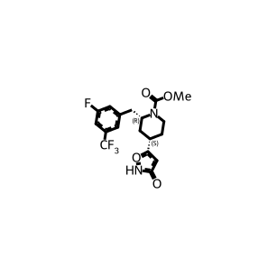 COC(=O)N1CC[C@H](c2cc(=O)[nH]o2)C[C@@H]1Cc1cc(F)cc(C(F)(F)F)c1